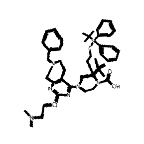 CN(C)CCOc1nc2c(c(N3CCN(C(=O)O)C(CCO[Si](c4ccccc4)(c4ccccc4)C(C)(C)C)(C(C)(C)C)C3)n1)CCN(Cc1ccccc1)C2